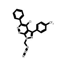 [N-]=[N+]=NCn1nc(-c2ccc(C(F)(F)F)cc2)c2c(Cl)c(-c3ccccc3)nnc21